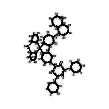 c1ccc(-c2nc(-c3ccccc3)nc(-c3ccc4c(c3)-c3cc(-c5cccc6ncccc56)ccc3C43c4ccccc4Sc4ccccc43)n2)cc1